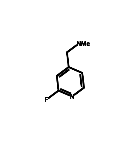 CNCc1ccnc(F)c1